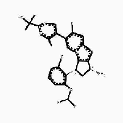 Cc1nc(C(C)(C)O)ncc1-c1cn2c3c(nc2cc1F)[C@H](N)C[C@@H]3c1c(Cl)cccc1OC(F)F